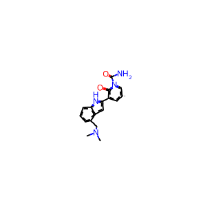 CN(C)Cc1cccc2[nH]c(-c3c[c]cn(C(N)=O)c3=O)cc12